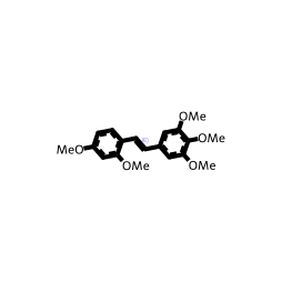 COc1ccc(/C=C/c2cc(OC)c(OC)c(OC)c2)c(OC)c1